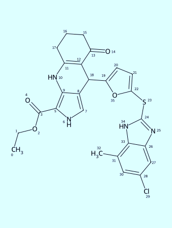 CCOC(=O)c1[nH]cc2c1NC1=C(C(=O)CCC1)C2c1ccc(Sc2nc3cc(Cl)cc(C)c3[nH]2)o1